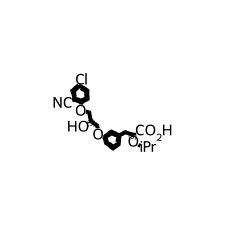 CC(C)O[C@@H](Cc1cccc(OC[C@H](O)COc2ccc(Cl)cc2C#N)c1)C(=O)O